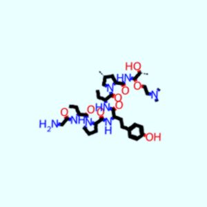 CCC(NC(=O)CN)C(=O)N1CCCC1C(=O)NC(CCc1ccc(O)cc1)C(=O)NC(CC)C(=O)N1C[C@H](C)CC1C(=O)NC(OCCN(C)C)[C@@H](C)O